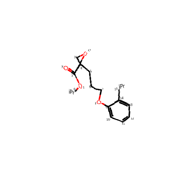 CC(C)OC(=O)C1(CCCOc2ccccc2C(C)C)CO1